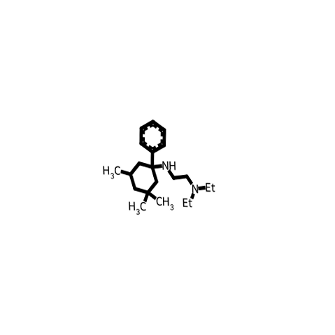 CCN(CC)CCNC1(c2ccccc2)CC(C)CC(C)(C)C1